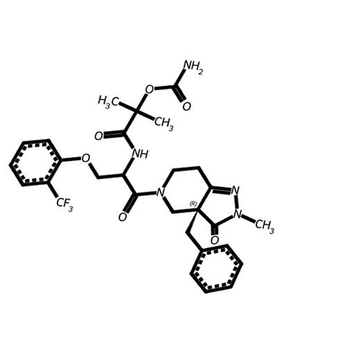 CN1N=C2CCN(C(=O)C(COc3ccccc3C(F)(F)F)NC(=O)C(C)(C)OC(N)=O)C[C@@]2(Cc2ccccc2)C1=O